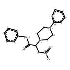 O=C(Nc1ccccc1)C(C[N+](=O)[O-])N1CCN(c2ccccn2)CC1